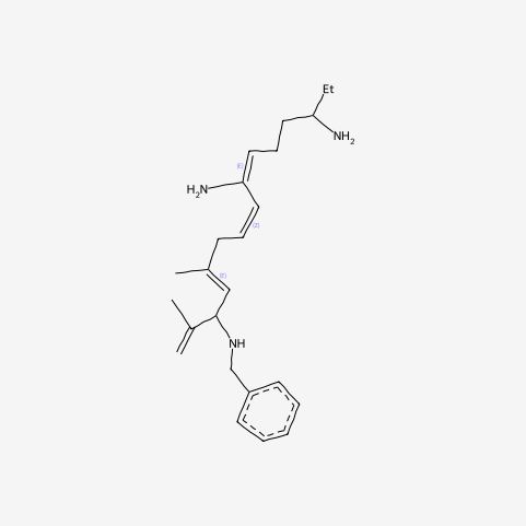 C=C(C)C(/C=C(\C)C/C=C\C(N)=C/CCC(N)CC)NCc1ccccc1